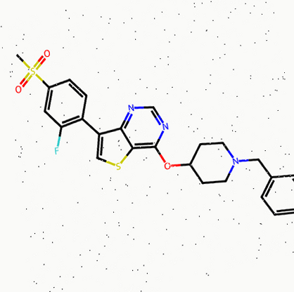 CS(=O)(=O)c1ccc(-c2csc3c(OC4CCN(Cc5ccccc5)CC4)ncnc23)c(F)c1